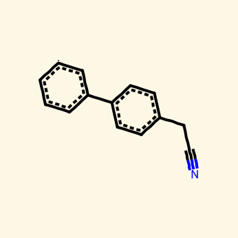 N#CCc1ccc(-c2c[c]ccc2)cc1